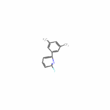 Fc1cccc(-c2cc(C(F)(F)F)cc(C(F)(F)F)c2)n1